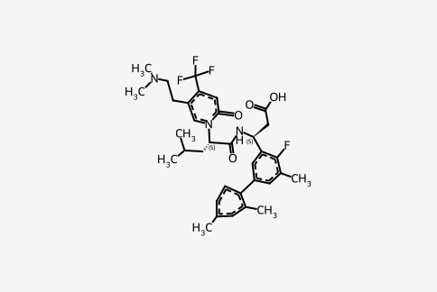 Cc1ccc(-c2cc(C)c(F)c([C@H](CC(=O)O)NC(=O)[C@H](CC(C)C)n3cc(CCN(C)C)c(C(F)(F)F)cc3=O)c2)c(C)c1